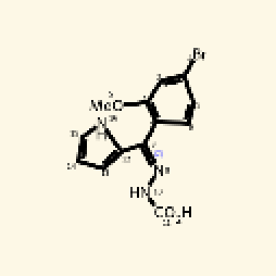 COc1cc(Br)ccc1/C(=N/NC(=O)O)c1ccc[nH]1